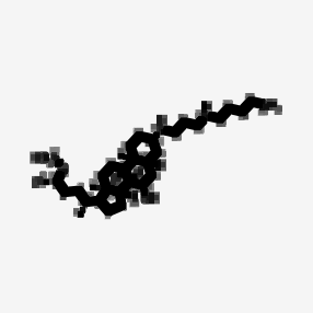 CC(C)[C@@H](CC[C@@H](C)C1CC[C@H]2[C@@H]3[C@H](O)C[C@H]4C[C@@H](NCCCNCCCCN)CC[C@]4(C)[C@H]3CC[C@]12C)OS(=O)(=O)O